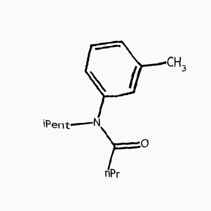 CCCC(=O)N(c1cccc(C)c1)C(C)CCC